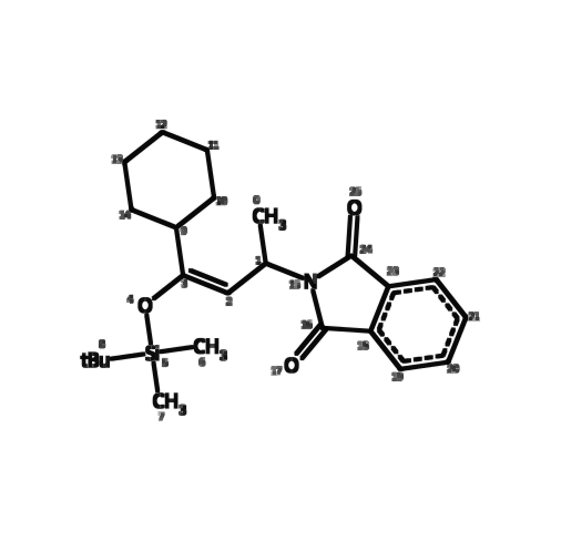 CC(/C=C(/O[Si](C)(C)C(C)(C)C)C1CCCCC1)N1C(=O)c2ccccc2C1=O